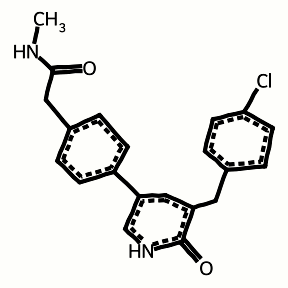 CNC(=O)Cc1ccc(-c2c[nH]c(=O)c(Cc3ccc(Cl)cc3)c2)cc1